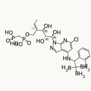 BC(B)(B)C(Nc1cc(Cl)nc2c1cnn2[C@H](O)[C@H](O)[C@H](O)/C(=C\C)COP(=O)(O)CP(=O)(O)O)c1ccccc1F